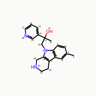 Cc1ccc2c(c1)c1c(n2CC(C)(O)c2cccnc2)CNCC1